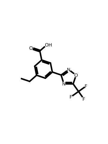 CCc1cc(C(=O)O)cc(-c2noc(C(F)(F)F)n2)c1